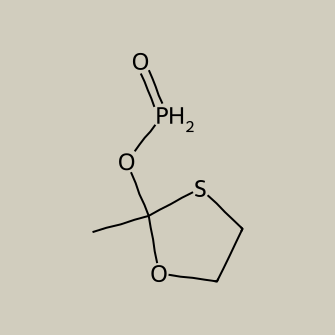 CC1(O[PH2]=O)OCCS1